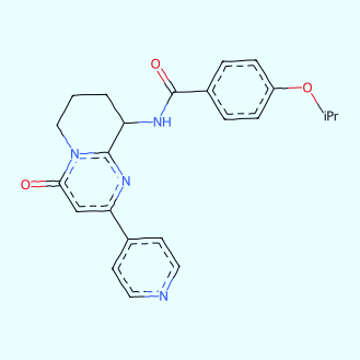 CC(C)Oc1ccc(C(=O)NC2CCCn3c2nc(-c2ccncc2)cc3=O)cc1